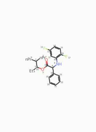 CCCC(CCC)[C@H](CC)OC(=O)C(Nc1cc(F)ccc1F)c1ccccc1